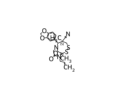 C=CCN1C(=O)CN2C(=O)[C@@]1(C)SSC[C@](C)(C#N)C2c1ccc2c(c1)OCO2